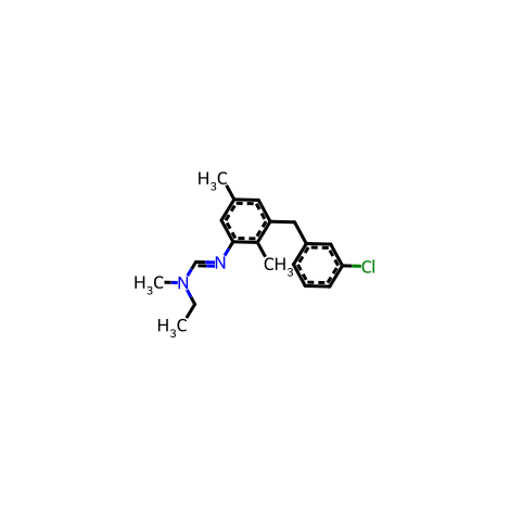 CCN(C)C=Nc1cc(C)cc(Cc2cccc(Cl)c2)c1C